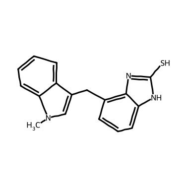 Cn1cc(Cc2cccc3[nH]c(S)nc23)c2ccccc21